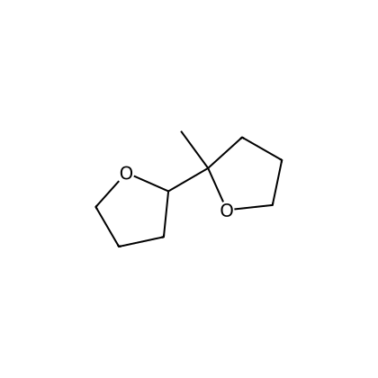 CC1(C2CCCO2)CCCO1